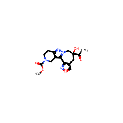 COC(=O)C1(O)Cc2conc2-c2c3c(nn2C1)CCN(C(=O)OC(C)(C)C)C3